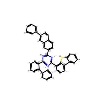 c1ccc(-c2ccc3ccc(-c4nc(-c5ccccc5-c5ccccc5)nc(-c5cccc6c5sc5ccccc56)n4)cc3c2)cc1